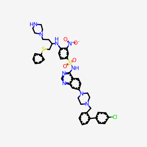 O=[N+]([O-])c1cc(S(=O)(=O)Nc2ncnc3cc(N4CCN(Cc5ccccc5-c5ccc(Cl)cc5)CC4)ccc23)ccc1NC(CCN1CCNCC1)CSc1ccccc1